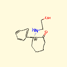 O=C1CCCC[C@@]1(NCCO)c1ccccc1